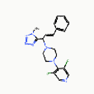 CC(C)(C)n1nnnc1C(/C=C/c1ccccc1)N1CCN(c2c(Cl)cncc2Cl)CC1